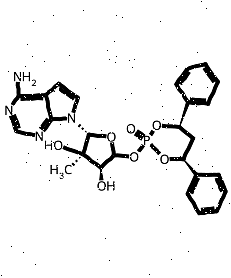 C[C@@]1(O)[C@H](O)C(OP2(=O)O[C@H](c3ccccc3)C[C@H](c3ccccc3)O2)O[C@H]1n1ccc2c(N)ncnc21